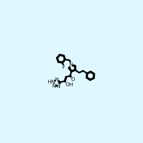 O=C(C=C(O)c1nn[nH]n1)c1cn(Cc2ccccc2F)cc1CCc1ccccc1